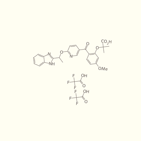 COc1ccc(C(=O)c2ccc(OC(C)c3nc4ccccc4[nH]3)nc2)c(OC(C)(C)C(=O)O)c1.O=C(O)C(F)(F)F.O=C(O)C(F)(F)F